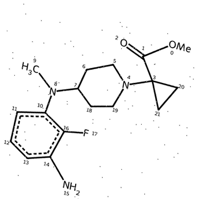 COC(=O)C1(N2CCC(N(C)c3cccc(N)c3F)CC2)CC1